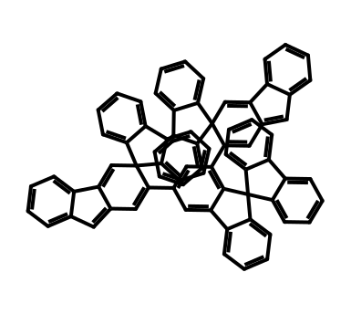 C1=C2C=C(c3cc(C4=CC5=Cc6ccccc6C5=CC45c4ccccc4-c4ccccc45)c4c(c3)-c3ccccc3C43c4ccccc4-c4ccccc43)C3(C=C2c2ccccc21)c1ccccc1-c1ccccc13